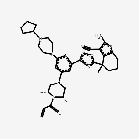 C=CC(=O)N1[C@H](C)CN(c2cc(-c3noc(C4(C)CCCc5sc(N)c(C#N)c54)n3)nc(N3CCN(C4CCCC4)CC3)c2)C[C@@H]1C